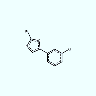 Clc1cccc(-c2cnc(Br)o2)c1